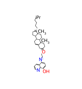 CC(C)CCCC[C@H]1CCC2C3CC=C4C[C@@H](OC/C=N/c5ccc(O)c6ncccc56)CCC4(C)C3CCC21C